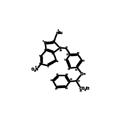 CCCCc1nc2cc([N+](=O)[O-])ccc2n1Cc1ccc(OC(C(=O)OCC)c2ccccc2)cc1